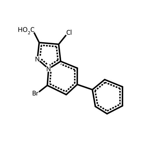 O=C(O)c1nn2c(Br)cc(-c3ccccc3)cc2c1Cl